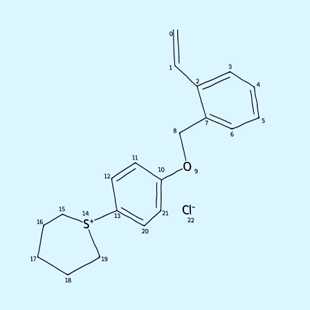 C=Cc1ccccc1COc1ccc([S+]2CCCCC2)cc1.[Cl-]